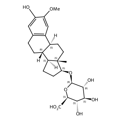 COc1cc2c(cc1O)CC[C@@H]1[C@@H]2CC[C@]2(C)[C@@H](O[C@@H]3O[C@H](C(=O)O)[C@@H](O)[C@H](O)[C@H]3O)CC[C@@H]12